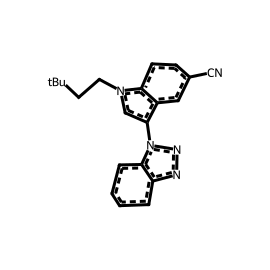 CC(C)(C)CCn1cc(-n2nnc3ccccc32)c2cc(C#N)ccc21